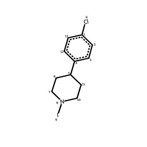 Clc1ccc(C2CCN(I)CC2)cc1